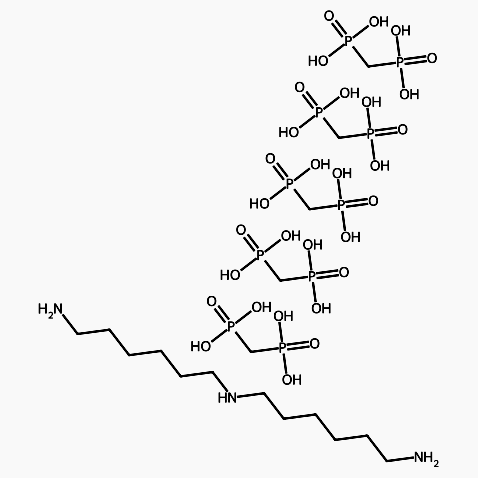 NCCCCCCNCCCCCCN.O=P(O)(O)CP(=O)(O)O.O=P(O)(O)CP(=O)(O)O.O=P(O)(O)CP(=O)(O)O.O=P(O)(O)CP(=O)(O)O.O=P(O)(O)CP(=O)(O)O